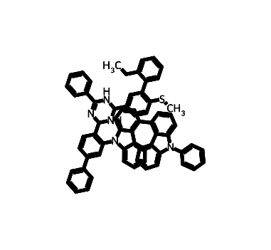 CCc1ccccc1-c1cc(C2NC(c3ccccc3)=NC(c3ccc(-c4ccccc4)cc3-n3c4ccccc4c4c(-c5cccc6c5c5ccccc5n6-c5ccccc5)cccc43)N2)ccc1SC